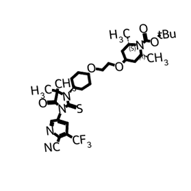 C[C@@H]1CC(OCCO[C@H]2CC[C@H](N3C(=S)N(c4cnc(C#N)c(C(F)(F)F)c4)C(=O)C3(C)C)CC2)C[C@H](C)N1C(=O)OC(C)(C)C